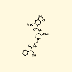 COc1cc(N)c(Cl)cc1C(=O)N[C@@H]1CCN(CCNC(=O)C(CO)c2ccccc2)C[C@@H]1OC